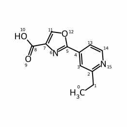 CCc1cc(-c2nc(C(=O)O)co2)ccn1